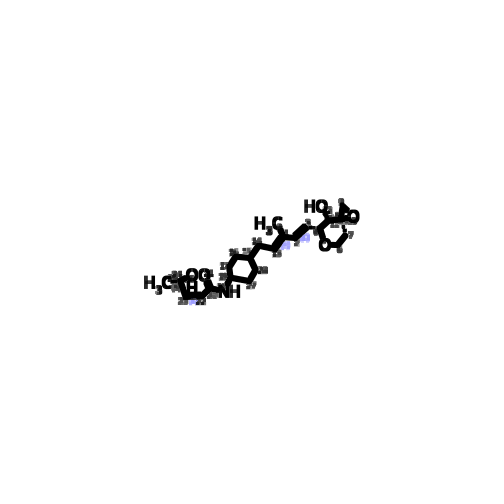 CC(/C=C/[C@H]1OCC[C@@]2(CO2)[C@@H]1O)=C\CC1CCC(NC(=O)/C=C\[C@H](C)O)CC1